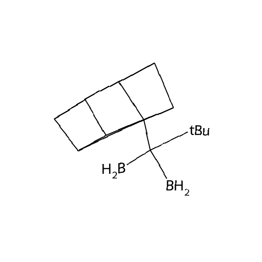 BC(B)(C(C)(C)C)C12C3C4C5C3C1C5C42